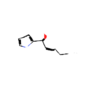 CCCCCCC/C=C/C(=O)c1ccc[nH]1